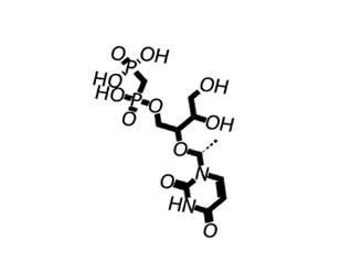 C[C@@H](OC(COP(=O)(O)CP(=O)(O)O)C(O)CO)n1ccc(=O)[nH]c1=O